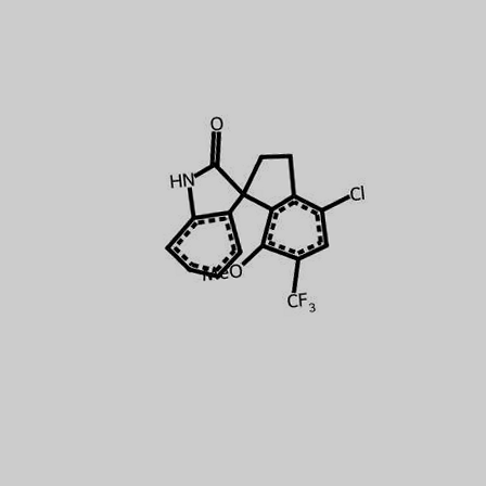 COc1c(C(F)(F)F)cc(Cl)c2c1C1(CC2)C(=O)Nc2ccccc21